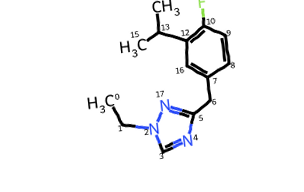 CCn1cnc(Cc2ccc(F)c(C(C)C)c2)n1